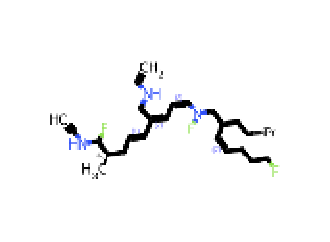 C#CNC(F)[C@H](C)C/C=C/C(=C/C=C\N(F)CC(/C=C\CCCF)CCC(C)C)CNC=C